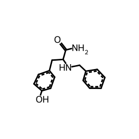 NC(=O)C(Cc1ccc(O)cc1)NCc1ccccc1